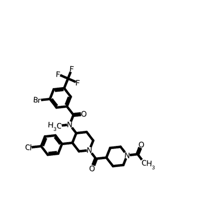 CC(=O)N1CCC(C(=O)N2CCC(N(C)C(=O)c3cc(Br)cc(C(F)(F)F)c3)C(c3ccc(Cl)cc3)C2)CC1